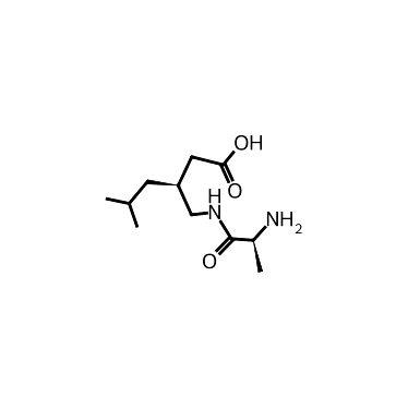 CC(C)C[C@H](CNC(=O)[C@H](C)N)CC(=O)O